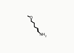 COCCCC=CN